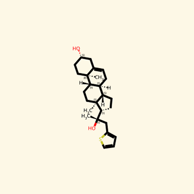 C[C@]12CC[C@H]3[C@@H](CC=C4C[C@@H](O)CC[C@@]43C)[C@@H]1CC[C@@H]2[C@@](C)(O)Cc1cccs1